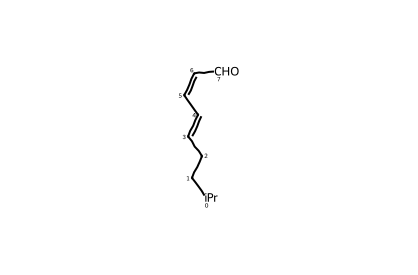 CC(C)CC/C=C/C=C\C=O